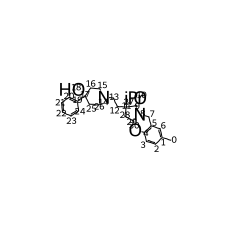 Cc1ccc2c(c1)CN1C(=O)C(CCN3CCC(O)(c4ccccc4)CC3)(C(C)C)CC1O2